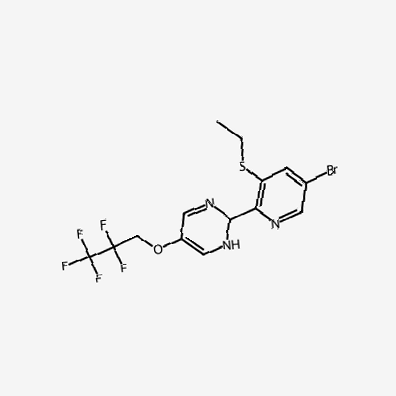 CCSc1cc(Br)cnc1C1N=CC(OCC(F)(F)C(F)(F)F)=CN1